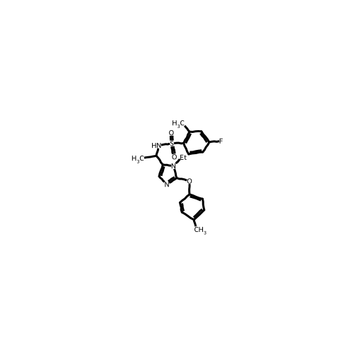 CCn1c(C(C)NS(=O)(=O)c2ccc(F)cc2C)cnc1Oc1ccc(C)cc1